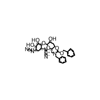 [N-]=[N+]=N[C@H]1C[C@@H](N=[N+]=[N-])[C@H](O)[C@@H](O)[C@@H]1OC1O[C@H](CN(Cc2ccccc2)C(=O)OCc2ccccc2)CC[C@H]1O